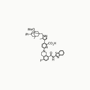 COC12CC3(C)CC(Cn4ncc(-c5ccc(N6CCc7c(F)ccc(C(=O)Nc8nc9ccccc9s8)c7C6)nc5C(=O)O)c4C)(C1)CC(C(C)C)(C3)C2